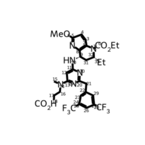 CCOC(=O)N1c2ccc(OC)nc2[C@@H](Nc2cc(N(C)CCC(=O)O)nc(Cc3cc(C(F)(F)F)cc(C(F)(F)F)c3)n2)C[C@H]1CC